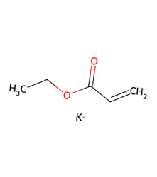 C=CC(=O)OCC.[K]